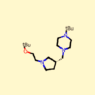 CC(C)(C)OCCN1CC[C@@H](CN2CCN(C(C)(C)C)CC2)C1